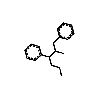 CCCC(c1ccccc1)C(C)Cc1ccccc1